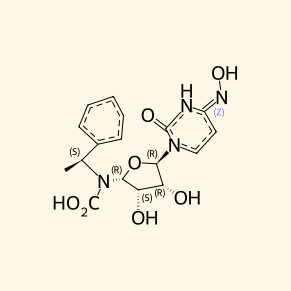 C[C@@H](c1ccccc1)N(C(=O)O)[C@@H]1O[C@@H](n2cc/c(=N/O)[nH]c2=O)[C@H](O)[C@@H]1O